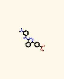 COC(=O)c1ccc(-c2nnc(Nc3cccc(N(C)C)c3)c3ccccc23)cc1